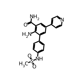 CS(=O)(=O)Nc1ccc(-c2cc(-c3ccncc3)cc(C(N)=O)c2N)cc1